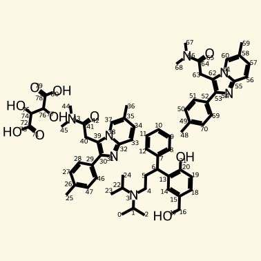 CC(C)N(CCC(c1ccccc1)c1cc(CO)ccc1O)C(C)C.Cc1ccc(-c2nc3ccc(C)cn3c2CC(=O)N(C)C)cc1.Cc1ccc(-c2nc3ccc(C)cn3c2CC(=O)N(C)C)cc1.O=C(O)C(O)C(O)C(=O)O